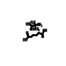 CC(C)(C)C(O)O.O=C(O)CCCCC(=O)O